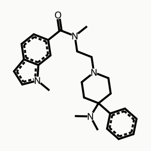 CN(CCN1CCC(c2ccccc2)(N(C)C)CC1)C(=O)c1ccc2ccn(C)c2c1